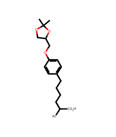 CC(=O)C(CCCCc1ccc(OCC2COC(C)(C)O2)cc1)C(=O)O